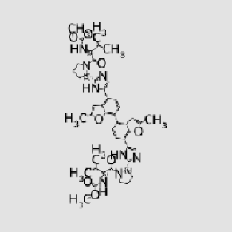 COC(=O)N[C@H](C(=O)N1CCC[C@H]1c1ncc(-c2ccc(-c3ccc(-c4cnc([C@@H]5CCCN5C(=O)[C@@H](NC(=O)OC)C(C)C)[nH]4)c4oc(C)cc34)c3oc(C)cc23)[nH]1)C(C)C